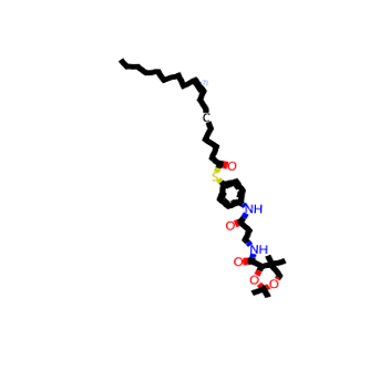 CCCCCCCC/C=C\CCCCCCCC(=O)Sc1ccc(NC(=O)CCNC(=O)C2OC(C)(C)OCC2(C)C)cc1